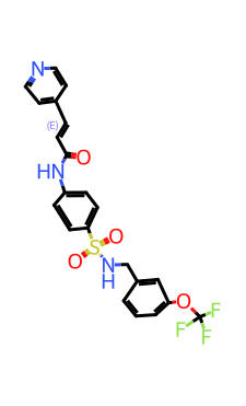 O=C(/C=C/c1ccncc1)Nc1ccc(S(=O)(=O)NCc2cccc(OC(F)(F)F)c2)cc1